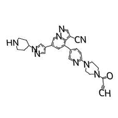 C#CC(=O)N1CCN(c2ccc(-c3cc(-c4cnn(C5CCNCC5)c4)cn4ncc(C#N)c34)cn2)CC1